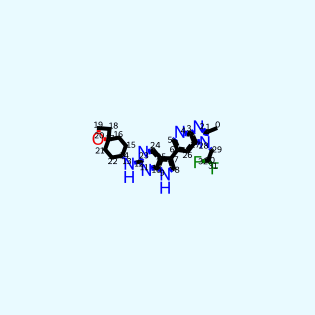 Cc1nc2ncc(-c3c[nH]c4nc(NC5CCC6(CCO6)CC5)ncc34)cc2n1CC(F)F